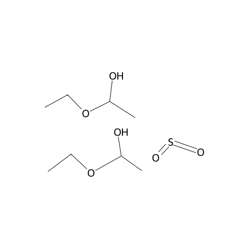 CCOC(C)O.CCOC(C)O.O=S=O